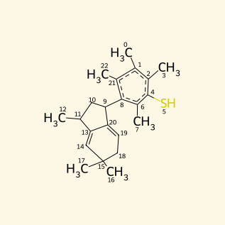 Cc1c(C)c(S)c(C)c(C2CC(C)C3=CC(C)(C)CC=C32)c1C